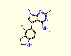 Cc1nc(N)c2c(-c3ccc4c(c3F)CCN4)cn(C)c2n1